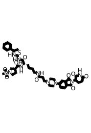 CS(=O)(=O)N1CCC(C(O)N[C@@H](CCCCNC(=O)CCN2CCN(c3ccc4c(c3)C(=O)N(C3CCC(=O)NC3=O)C4=O)CC2)C(=O)NC2NC(c3ccccc3)CS2)C1